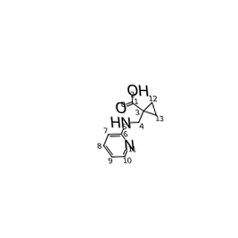 O=C(O)C1(CNc2ccccn2)CC1